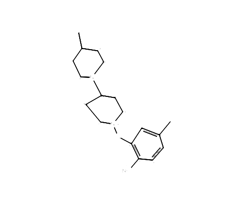 Cc1ccc(C#N)c(SN2CCC(N3CCC(C)CC3)CC2)c1